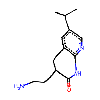 CC(C)c1cnc2c(c1)CC(CCN)C(=O)N2